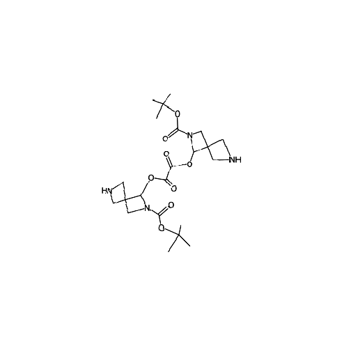 CC(C)(C)OC(=O)N1CC2(CNC2)C1OC(=O)C(=O)OC1N(C(=O)OC(C)(C)C)CC12CNC2